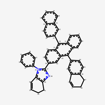 C1=Cc2cc(-c3c4ccccc4c(-c4ccc5ccccc5c4)c4ccc(-c5nc6c(n5-c5ccccc5)C=CCC6)cc34)ccc2CC1